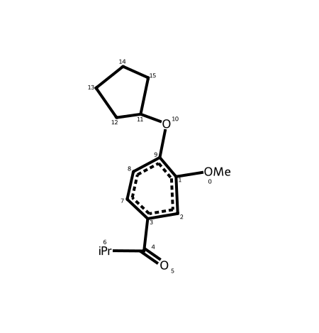 COc1cc(C(=O)C(C)C)ccc1OC1CCCC1